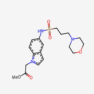 COC(=O)Cn1ccc2cc(NS(=O)(=O)CCCN3CCOCC3)ccc21